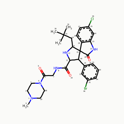 CN1CCN(C(=O)CNC(=O)C2NC(CC(C)(C)C)C3(C(=O)Nc4cc(Cl)ccc43)C2c2cccc(Br)c2)CC1